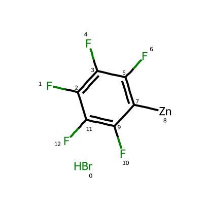 Br.Fc1c(F)c(F)[c]([Zn])c(F)c1F